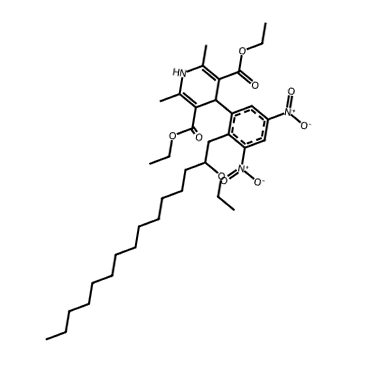 CCCCCCCCCCCCCC(Cc1c(C2C(C(=O)OCC)=C(C)NC(C)=C2C(=O)OCC)cc([N+](=O)[O-])cc1[N+](=O)[O-])OCC